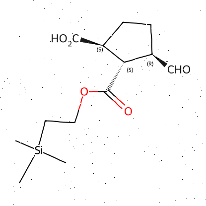 C[Si](C)(C)CCOC(=O)[C@H]1[C@H](C=O)CC[C@@H]1C(=O)O